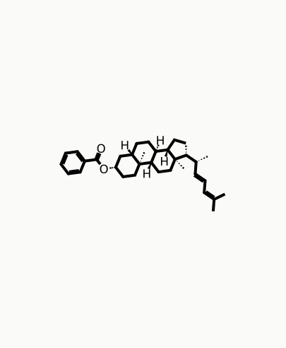 CC(C)=C/C=C/[C@@H](C)[C@H]1CC[C@H]2[C@@H]3CC[C@H]4C[C@@H](OC(=O)c5ccccc5)CC[C@]4(C)[C@H]3CC[C@]12C